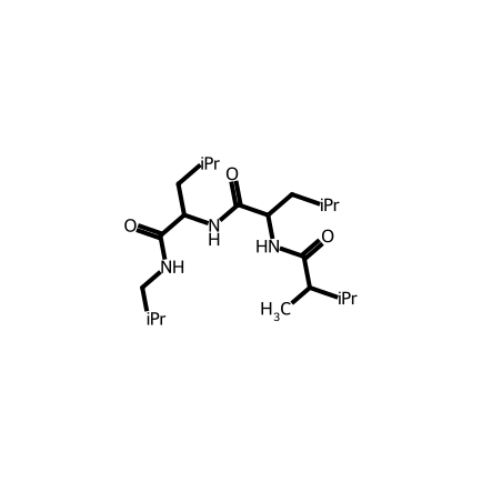 CC(C)CNC(=O)C(CC(C)C)NC(=O)C(CC(C)C)NC(=O)C(C)C(C)C